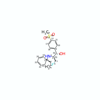 CC[C@]1(N[C@H](CF)[C@@H](O)c2ccc(S(C)(=O)=O)cc2)C=CC=CC1